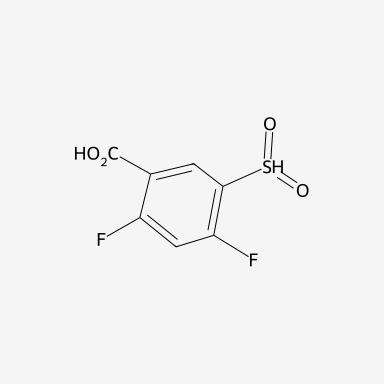 O=C(O)c1cc([SH](=O)=O)c(F)cc1F